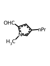 CCCc1cc(C=O)n(C)c1